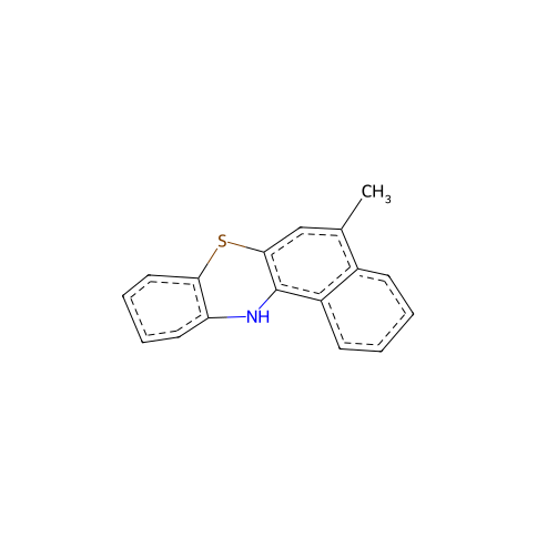 Cc1cc2c(c3ccccc13)Nc1ccccc1S2